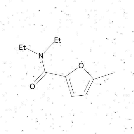 CCN(CC)C(=O)c1ccc(C)o1